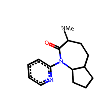 CNC1CCC2CCCC2N(c2ccccn2)C1=O